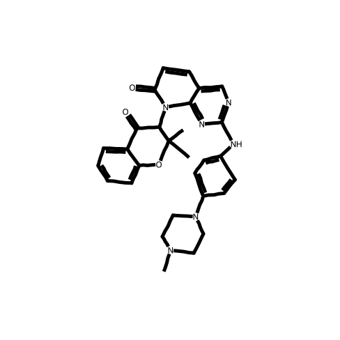 CN1CCN(c2ccc(Nc3ncc4ccc(=O)n(C5C(=O)c6ccccc6OC5(C)C)c4n3)cc2)CC1